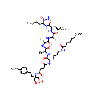 CCCCCCCCCCCCCCCC(=O)NCCCC[C@H](NC(=O)CCC(=O)NC(CO)(CO)CCc1ccc(CCCCCCCC)cc1)C(=O)NC(C(=O)N[C@H](C(=O)NC(C(=O)N[C@@H](CCC(=O)O)C(=O)N[C@@H](CCC(=O)O)C(N)=O)C(C)C)C(C)C)C(C)C